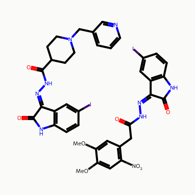 COc1cc(CC(=O)NN=C2C(=O)Nc3ccc(I)cc32)c([N+](=O)[O-])cc1OC.O=C1Nc2ccc(I)cc2C1=NNC(=O)C1CCN(Cc2cccnc2)CC1